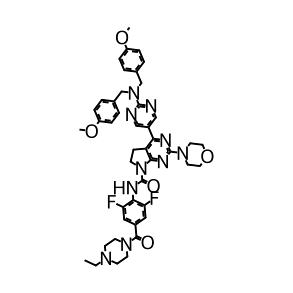 CCN1CCN(C(=O)c2cc(F)c(NC(=O)N3CCc4c(-c5cnc(N(Cc6ccc(OC)cc6)Cc6ccc(OC)cc6)nc5)nc(N5CCOCC5)nc43)c(F)c2)CC1